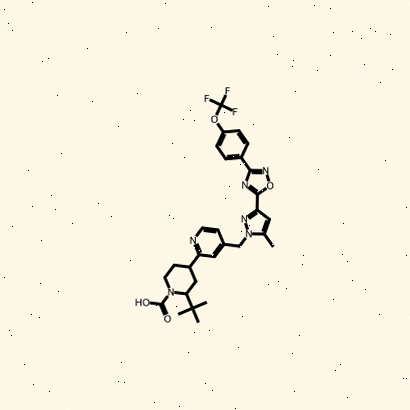 Cc1cc(-c2nc(-c3ccc(OC(F)(F)F)cc3)no2)nn1Cc1ccnc(C2CCN(C(=O)O)C(C(C)(C)C)C2)c1